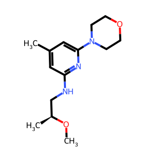 CO[C@@H](C)CNc1cc(C)cc(N2CCOCC2)n1